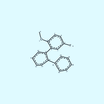 COc1ccc(F)cc1-c1ccccc1-c1ccccc1